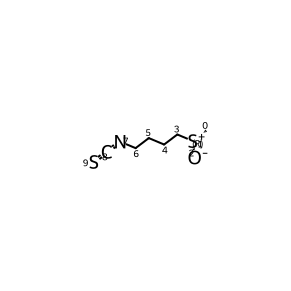 C[S@+]([O-])CCCCN=C=S